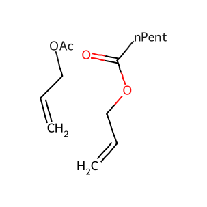 C=CCOC(=O)CCCCC.C=CCOC(C)=O